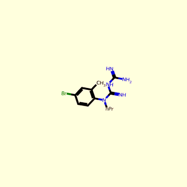 CCCN(C(=N)NC(=N)N)c1ccc(Br)cc1C